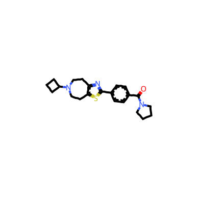 O=C(c1ccc(-c2nc3c(s2)CCN(C2CCC2)CC3)cc1)N1CCCC1